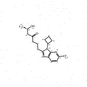 O=C(CCCc1nc2ccc(C(F)(F)F)nc2n1C1CCC1)C[C@H](O)C(F)(F)F